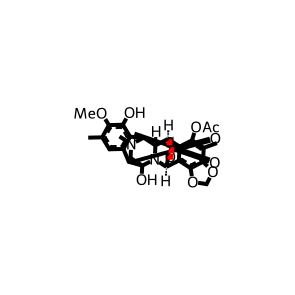 COc1c(C)cc2c(c1O)C1[C@@H]3[C@@H]4SCC(=O)C(=O)OC[C@@H](c5c6c(c(C)c(OC(C)=O)c54)OCO6)N3C(O)(C2)CN1C